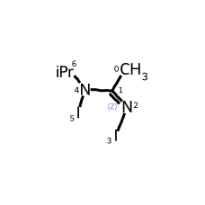 C/C(=N/I)N(I)C(C)C